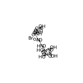 O=C(O)CC[C@H](NC(=O)N[C@@H](CCCCN(Cc1ccc(Br)cc1)C(=O)CCCCNC(=O)CCC(C(=O)O)N1CCN(CC(=O)O)CCN(CC(=O)O)CCN(CC(=O)O)CC1)C(=O)O)C(=O)O